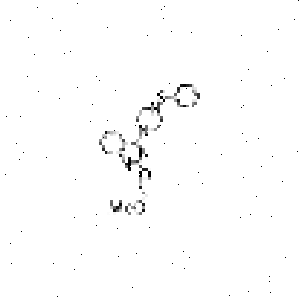 COCCOc1nc(N2CCN(Sc3ccccc3)CC2)c2ccccc2n1